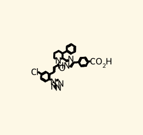 O=C(O)c1ccc(-c2c[nH]c(C3C(c4ccccc4)CCCN3C(=O)/C=C/c3cc(Cl)ccc3-n3cnnn3)n2)cc1